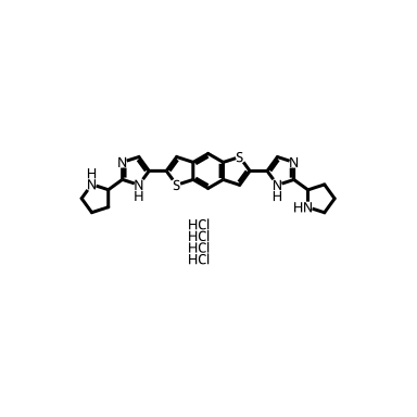 Cl.Cl.Cl.Cl.c1nc(C2CCCN2)[nH]c1-c1cc2cc3sc(-c4cnc(C5CCCN5)[nH]4)cc3cc2s1